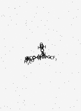 C[C@@H](Cn1cnnn1)Oc1cc(-c2cnc(Nc3cn(C4CCC(N5[C@@H]6CC[C@H]5COC6)CC4)nc3OCCOCC(F)(F)F)nc2)ccc1C#N